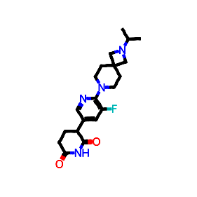 CC(C)N1CC2(CCN(c3ncc(C4CCC(=O)NC4=O)cc3F)CC2)C1